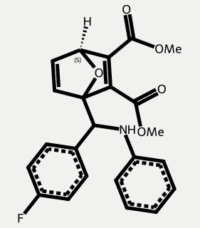 COC(=O)C1=C(C(=O)OC)C2(C(Nc3ccccc3)c3ccc(F)cc3)C=C[C@@H]1O2